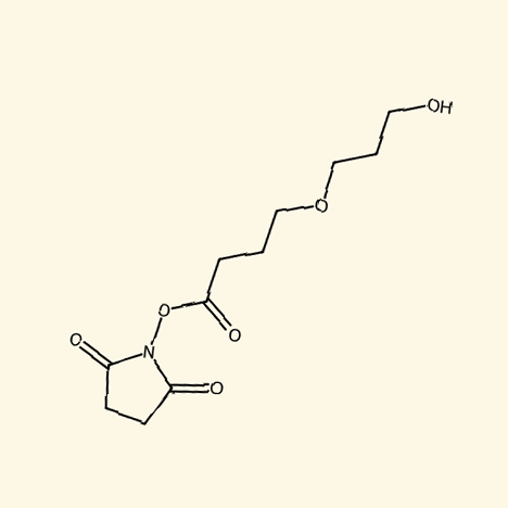 O=C(CCCOCCCO)ON1C(=O)CCC1=O